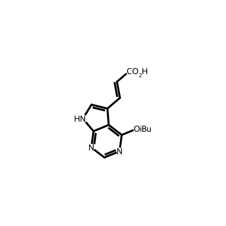 CC(C)COc1ncnc2[nH]cc(C=CC(=O)O)c12